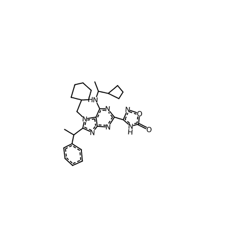 CC(c1ccccc1)c1nc2nc(-c3noc(=O)[nH]3)nc(NC(C)C3CCC3)c2n1CC1CCCCC1